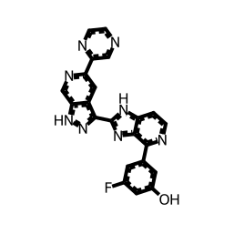 Oc1cc(F)cc(-c2nccc3[nH]c(-c4n[nH]c5cnc(-c6cnccn6)cc45)nc23)c1